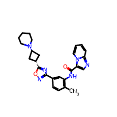 Cc1ccc(-c2noc([C@H]3C[C@@H](N4CCCCC4)C3)n2)cc1NC(=O)c1cnc2ccccn12